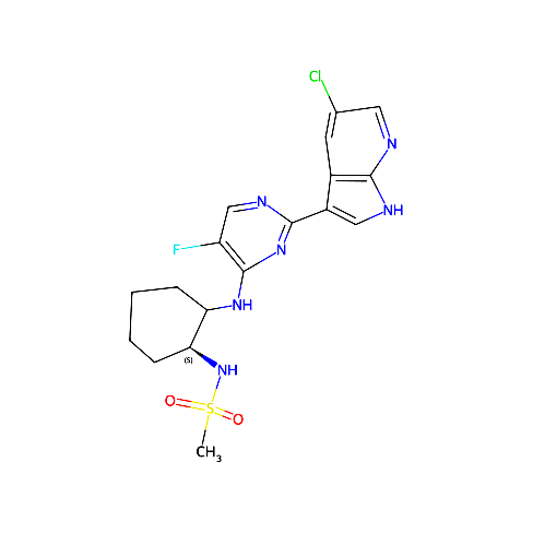 CS(=O)(=O)N[C@H]1CCCCC1Nc1nc(-c2c[nH]c3ncc(Cl)cc23)ncc1F